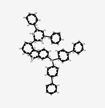 c1ccc(-c2ccc(N(c3ccc(-c4ccccc4)cc3)c3ccc4c(c3)oc3cccc(-c5nc(-c6ccccc6)cc(-c6ccccc6)n5)c34)cc2)cc1